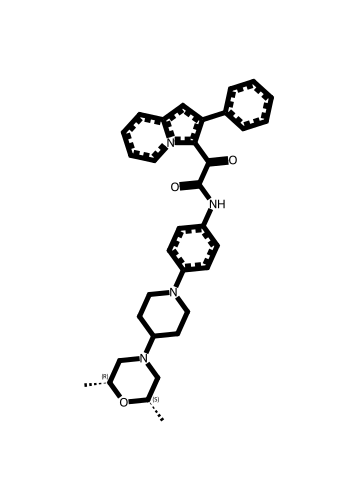 C[C@@H]1CN(C2CCN(c3ccc(NC(=O)C(=O)c4c(-c5ccccc5)cc5ccccn45)cc3)CC2)C[C@H](C)O1